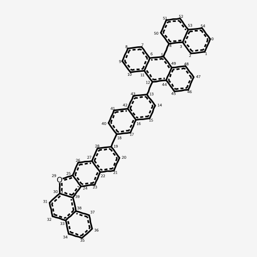 c1ccc2c(-c3c4ccccc4c(-c4ccc5cc(-c6ccc7cc8c(cc7c6)oc6ccc7ccccc7c68)ccc5c4)c4ccccc34)cccc2c1